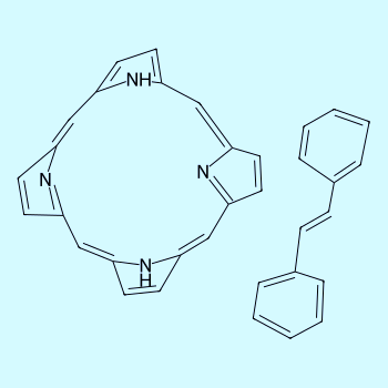 C(=Cc1ccccc1)c1ccccc1.C1=Cc2cc3ccc(cc4nc(cc5ccc(cc1n2)[nH]5)C=C4)[nH]3